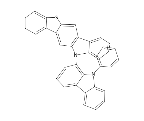 c1ccc(-n2c3ccccc3c3cccc(-n4c5ccccc5c5cc6sc7ccccc7c6cc54)c32)cc1